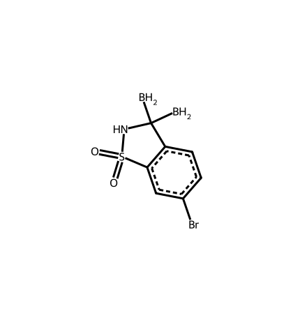 BC1(B)NS(=O)(=O)c2cc(Br)ccc21